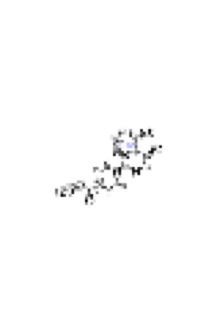 CC/C(C)=C1\C(Br)=CN=C(N2CCN(C(=O)OC(C)(C)C)CC2)N1/N=N\C